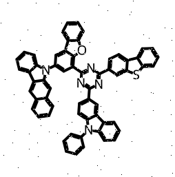 c1ccc(-n2c3ccccc3c3cc(-c4nc(-c5ccc6c(c5)sc5ccccc56)nc(-c5cc(-n6c7ccccc7c7cc8ccccc8cc76)cc6c5oc5ccccc56)n4)ccc32)cc1